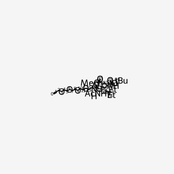 C#CCOCCOCCOCCOCCNC(=O)O[C@H]1[C@@H]([C@@H](NC(C)=O)C(CC)CC)[C@H](NC(=O)OC(C)(C)C)C[C@@H]1C(=O)OC